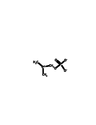 C[P+3](C)C.O=P([O-])([O-])[O-]